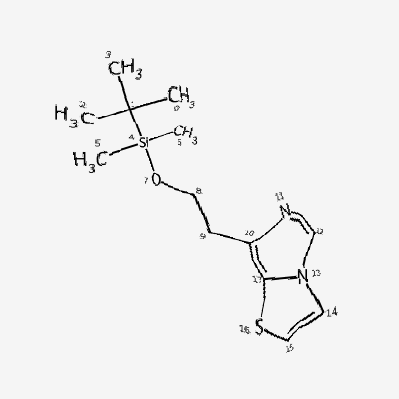 CC(C)(C)[Si](C)(C)OCCc1ncn2ccsc12